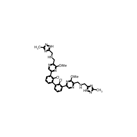 COc1nc(-c2cccc(-c3cccc(-c4cnc(CNCc5nc(C)n[nH]5)c(OC)n4)c3Cl)c2Cl)cnc1CNCc1nc(C)n[nH]1